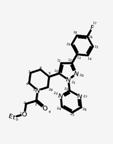 CCOCC(=O)N1CCCC(c2cc(-c3ccc(F)cc3)nn2-c2ncccn2)C1